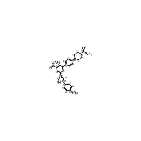 COC(=O)c1cc(-c2ccc(C3CCN(C(=O)C(F)(F)F)CC3)cc2)cc(-n2cc(-c3ccc(C(C)(C)C)cc3)nn2)c1